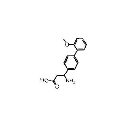 COc1ccccc1-c1ccc(C(N)CC(=O)O)cc1